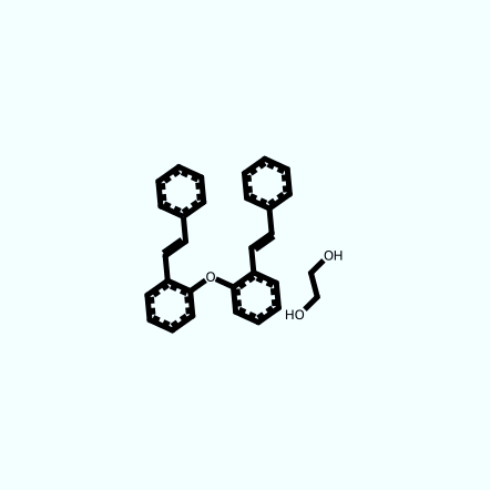 C(=Cc1ccccc1Oc1ccccc1C=Cc1ccccc1)c1ccccc1.OCCO